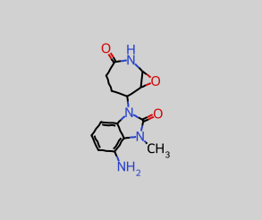 Cn1c(=O)n(C2CCC(=O)NC3OC32)c2cccc(N)c21